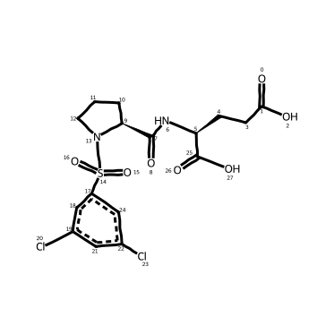 O=C(O)CC[C@H](NC(=O)[C@@H]1CCCN1S(=O)(=O)c1cc(Cl)cc(Cl)c1)C(=O)O